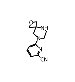 N#Cc1cccc(N2CCNC3(COC3)C2)n1